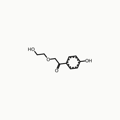 O=C(COCCO)c1ccc(O)cc1